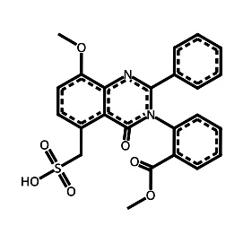 COC(=O)c1ccccc1-n1c(-c2ccccc2)nc2c(OC)ccc(CS(=O)(=O)O)c2c1=O